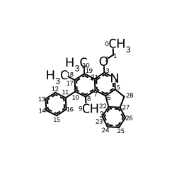 CCOc1nc2c(c3c(C)c(-c4ccccc4)c(C)c(C)c13)-c1ccccc1C2